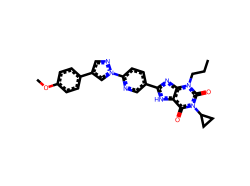 CCCn1c(=O)n(C2CC2)c(=O)c2[nH]c(-c3ccc(-n4cc(-c5ccc(OC)cc5)cn4)nc3)nc21